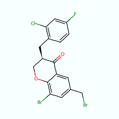 O=C1c2cc(CBr)cc(Br)c2OC[C@H]1Cc1ccc(F)cc1Cl